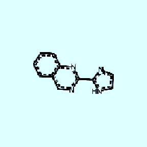 c1ccc2nc(-c3ncc[nH]3)ncc2c1